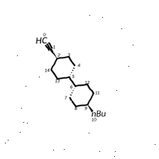 C#C[C@H]1CC[C@H]([C@H]2CC[C@H](CCCC)CC2)CC1